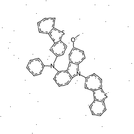 COc1ccc2c(c1)c1c(N(c3ccccc3)c3ccc4sc5ccccc5c4c3)cccc1n2-c1ccc2sc3ccccc3c2c1